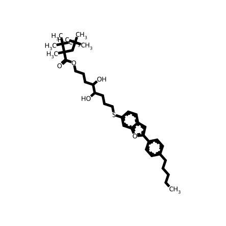 CCCCCc1ccc(-c2cc3ccc(SCCCC(O)C(O)CCCOC(=O)C(C)(CC(C)(C)C)C(C)(C)C)cc3o2)cc1